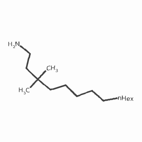 CCCCCCCCCCCC(C)(C)CCN